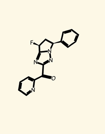 O=C(c1ccccn1)c1nc2n(n1)[C@H](c1ccccc1)C[C@@H]2F